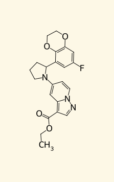 CCOC(=O)c1cnn2ccc(N3CCCC3c3cc(F)cc4c3OCCO4)cc12